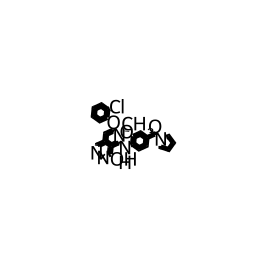 COc1cc(C(=O)N2CCCC2)ccc1Nc1nc(Oc2ccccc2Cl)cc2cnnc(O)c12